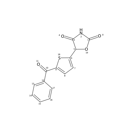 O=C1NC(=O)C(c2ccc(C(=O)c3ccccc3)s2)O1